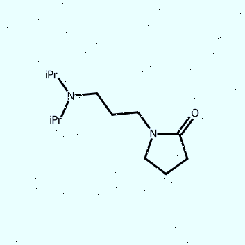 CC(C)N(CCCN1CCCC1=O)C(C)C